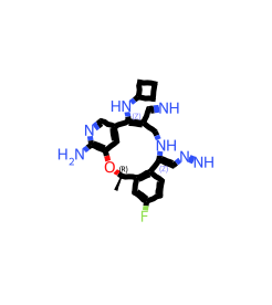 C[C@H]1Oc2cc(cnc2N)/C(NC2CCC2)=C(/C=N)CN/C(=C\N=N)c2ccc(F)cc21